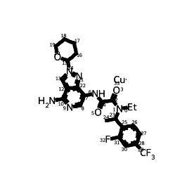 CCN(C(=O)C(=O)Nc1cnc(N)c2cn(C3CCCCO3)nc12)C(C)c1ccc(C(F)(F)F)cc1F.[Cu]